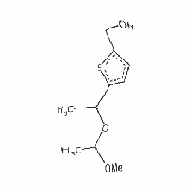 COC(C)OC(C)c1ccc(CO)s1